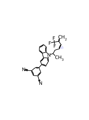 C=C(/C=C\CC(C)n1c2ccccc2c2cc(-c3cc(C#N)cc(C#N)c3)ccc21)C(F)(F)F